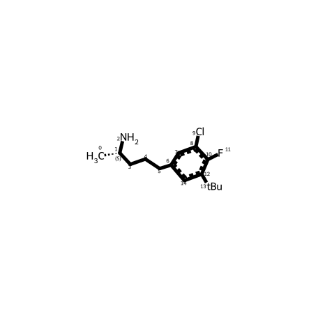 C[C@H](N)CCCc1cc(Cl)c(F)c(C(C)(C)C)c1